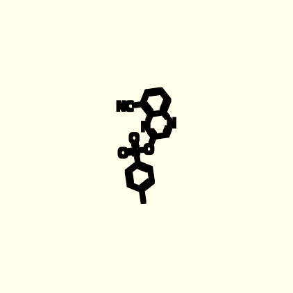 Cc1ccc(S(=O)(=O)Oc2cnc3cccc(C#N)c3n2)cc1